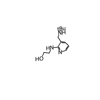 CC(C)(C)NCc1cccnc1NCCO